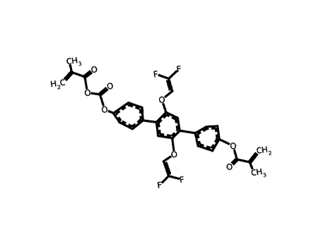 C=C(C)C(=O)OC(=O)Oc1ccc(-c2cc(OC=C(F)F)c(-c3ccc(OC(=O)C(=C)C)cc3)cc2OC=C(F)F)cc1